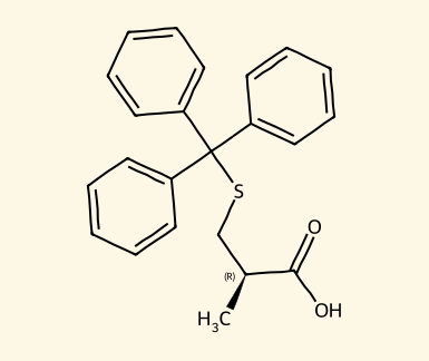 C[C@@H](CSC(c1ccccc1)(c1ccccc1)c1ccccc1)C(=O)O